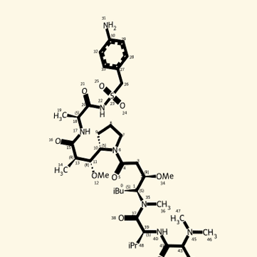 CC[C@H](C)[C@@H]([C@@H](CC(=O)N1CCC[C@H]1[C@H](OC)[C@@H](C)C(=O)N[C@@H](C)C(=O)NS(=O)(=O)Cc1ccc(N)cc1)OC)N(C)C(=O)[C@@H](NC(=O)C(C(C)C)N(C)C)C(C)C